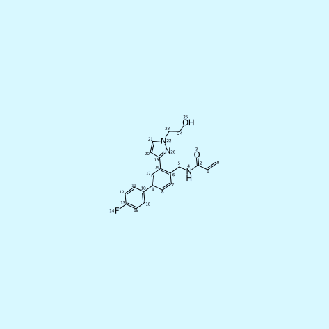 C=CC(=O)NCc1ccc(-c2ccc(F)cc2)cc1-c1ccn(CCO)n1